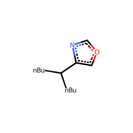 CCCCC(CCCC)c1cocn1